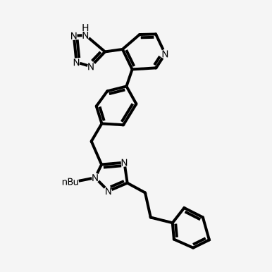 CCCCn1nc(CCc2ccccc2)nc1Cc1ccc(-c2cnccc2-c2nnn[nH]2)cc1